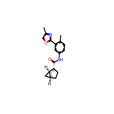 Cc1coc(-c2cc(NC(=O)[C@@H]3CC[C@@H]4C[C@@H]43)ccc2C)n1